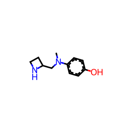 CN(CC1CCN1)c1ccc(O)cc1